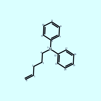 C=CCCCN(c1ccccc1)c1ccccc1